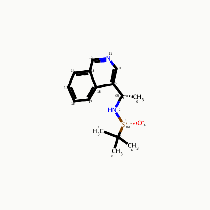 C[C@H](N[S@+]([O-])C(C)(C)C)c1cncc2ccccc12